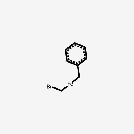 Br[CH2][Fe][CH2]c1ccccc1